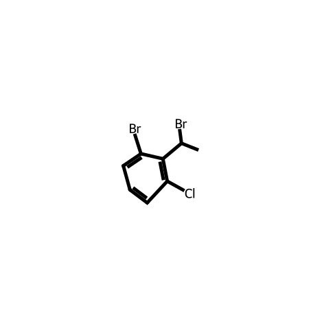 CC(Br)c1c(Cl)cccc1Br